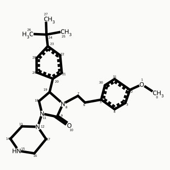 COc1ccc(CCN2C(=O)N(N3CCNCC3)CC2c2ccc(C(C)(C)C)cc2)cc1